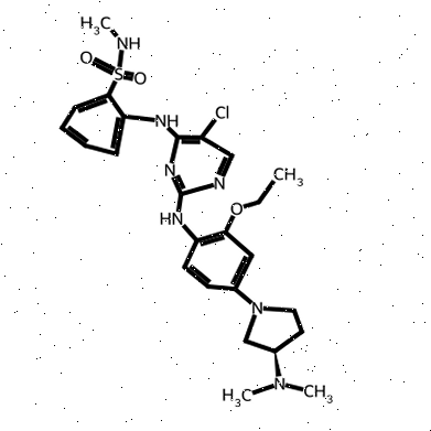 CCOc1cc(N2CC[C@@H](N(C)C)C2)ccc1Nc1ncc(Cl)c(Nc2ccccc2S(=O)(=O)NC)n1